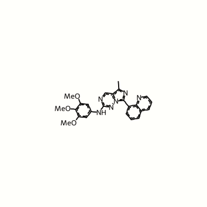 COc1cc(Nc2ncc3c(C)nc(-c4cccc5cccnc45)n3n2)cc(OC)c1OC